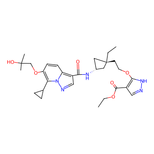 CCOC(=O)c1cn[nH]c1OCC[C@]1(CC)C[C@@H](NC(=O)c2cnn3c(C4CC4)c(OCC(C)(C)O)ccc23)C1